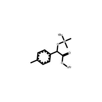 CCCOC(=O)C(O[Si](C)(C)C(C)(C)C)c1ccc(C)cc1